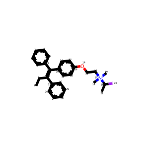 CC/C(=C(\c1ccccc1)c1ccc(OCC[N+](C)(C)C(C)I)cc1)c1ccccc1